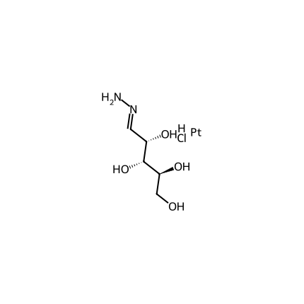 Cl.N/N=C/[C@H](O)[C@@H](O)[C@@H](O)CO.[Pt]